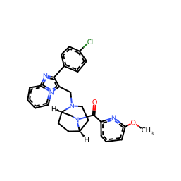 COc1cccc(C(=O)N2C[C@@H]3CC[C@H]2CCN3Cc2c(-c3ccc(Cl)cc3)nc3ccccn23)n1